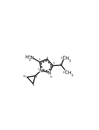 CC(C)c1cc(N)n(C2CC2)n1